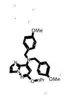 CCCOc1cc(N(Cc2ccc(OC)cc2)Cc2ccc(OC)cc2)c2nc[c]n2n1